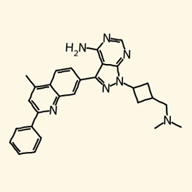 Cc1cc(-c2ccccc2)nc2cc(-c3nn(C4CC(CN(C)C)C4)c4ncnc(N)c34)ccc12